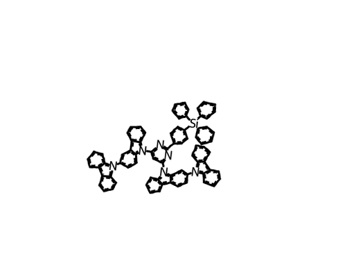 c1ccc([Si](c2ccccc2)(c2ccccc2)c2ccc(-c3nc(-n4c5ccccc5c5cc(-n6c7ccccc7c7ccccc76)ccc54)cc(-n4c5ccccc5c5ccc(-n6c7ccccc7c7ccccc76)cc54)n3)cc2)cc1